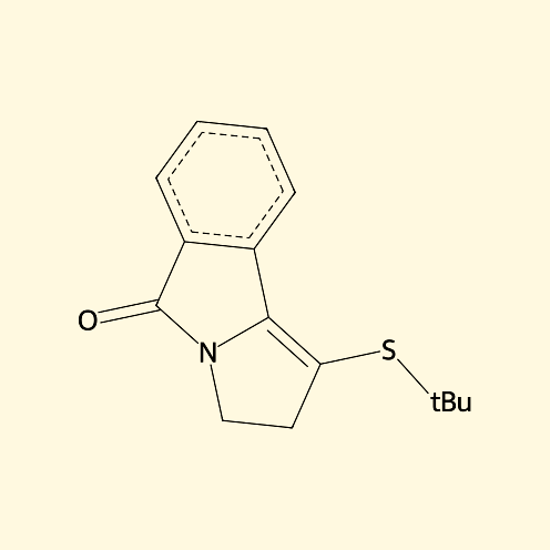 CC(C)(C)SC1=C2c3ccccc3C(=O)N2CC1